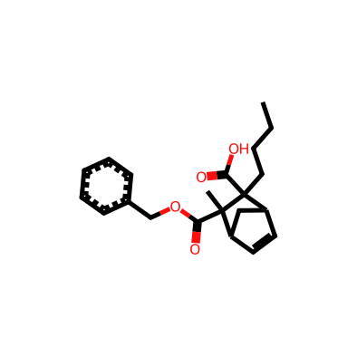 CCCCC1(C(=O)O)C2C=CC(C2)C1(C)C(=O)OCc1ccccc1